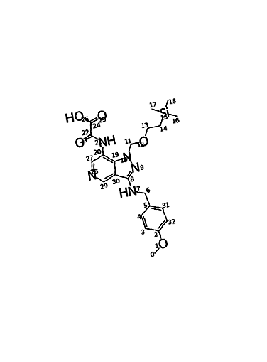 COc1ccc(CNc2nn(COCC[Si](C)(C)C)c3c(NC(=O)C(=O)O)cncc23)cc1